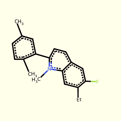 CCc1cc2c(ccc(-c3cc(C)ccc3C)[n+]2C)cc1F